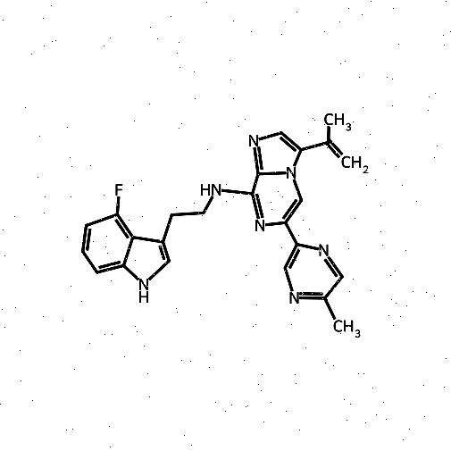 C=C(C)c1cnc2c(NCCc3c[nH]c4cccc(F)c34)nc(-c3cnc(C)cn3)cn12